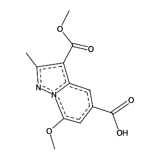 COC(=O)c1c(C)nn2c(OC)cc(C(=O)O)cc12